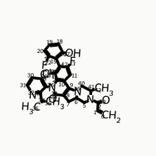 C=CC(=O)N1CC2Cc3c(c4cc(F)c(-c5c(O)cccc5F)c(Cl)c4n(-c4c(C)ccnc4C(C)C)c3=O)N2CC1C